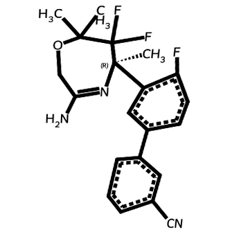 CC1(C)OCC(N)=N[C@](C)(c2cc(-c3cccc(C#N)c3)ccc2F)C1(F)F